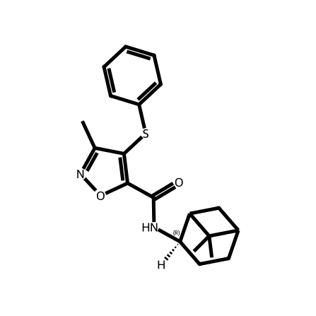 Cc1noc(C(=O)N[C@@H]2CCC3CC2C3(C)C)c1Sc1ccccc1